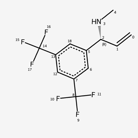 C=C[C@@H](NC)c1cc(C(F)(F)F)cc(C(F)(F)F)c1